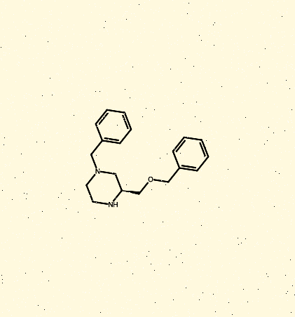 c1ccc(COC[C@@H]2CN(Cc3ccccc3)CCN2)cc1